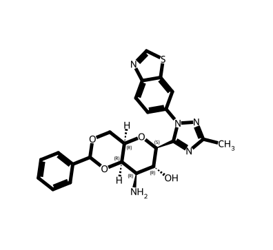 Cc1nc([C@@H]2O[C@@H]3COC(c4ccccc4)O[C@@H]3[C@H](N)[C@H]2O)n(-c2ccc3ncsc3c2)n1